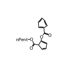 CCCCCOC(=O)C1C=CC=C1OC(=O)c1ccccc1